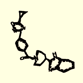 O=C(c1ccc(-c2noc(C3CC3)n2)cc1)N1CCC(c2nc3ccccc3[nH]2)CC1